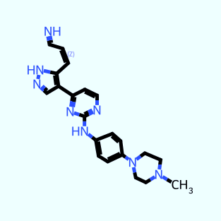 CN1CCN(c2ccc(Nc3nccc(-c4cn[nH]c4/C=C\C=N)n3)cc2)CC1